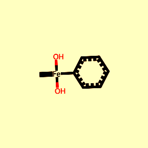 [CH2]=[Fe]([OH])([OH])[c]1ccccc1